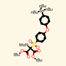 CCC[CH2][Sn]([CH2]CCC)([CH2]CCC)[c]1ccc(Oc2ccc(S(=O)(=O)C(NC)(C(=O)OC(C)(C)C)C(=O)OC(C)(C)C)cc2)cc1